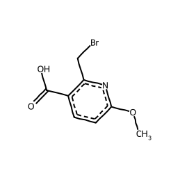 COc1ccc(C(=O)O)c(CBr)n1